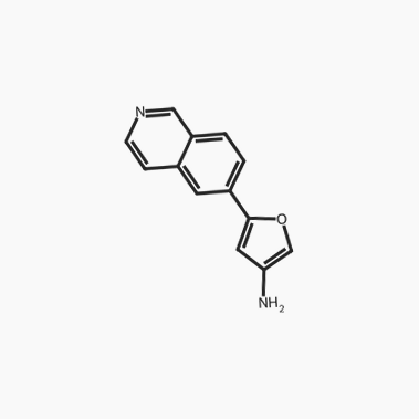 Nc1coc(-c2ccc3cnccc3c2)c1